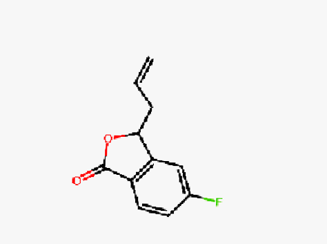 C=CCC1OC(=O)c2ccc(F)cc21